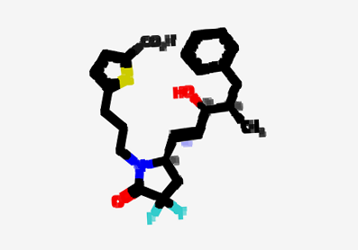 C[C@H](Cc1ccccc1)[C@H](O)/C=C/[C@H]1CC(F)(F)C(=O)N1CCCc1ccc(C(=O)O)s1